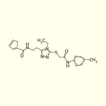 CCn1c(CCNC(=O)C2=CC=CC2)nnc1SCC(=O)Nc1ccc(C)cc1